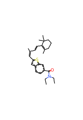 CCN(CC)C(=O)c1ccc2cc(C=C(C)C=CC3=C(C)CCCC3(C)C)sc2c1